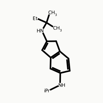 CCC(C)(C)NC1=Cc2cc(NC(C)C)ccc2C1